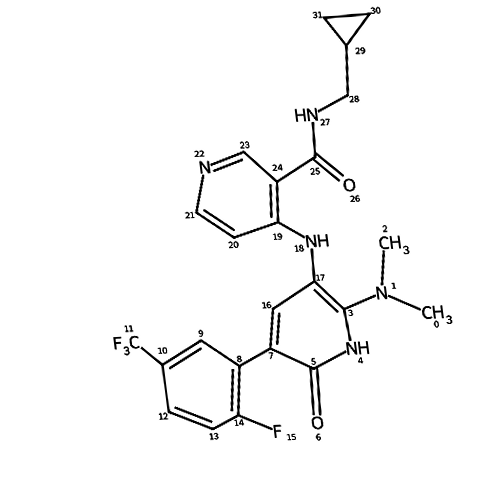 CN(C)c1[nH]c(=O)c(-c2cc(C(F)(F)F)ccc2F)cc1Nc1ccncc1C(=O)NCC1CC1